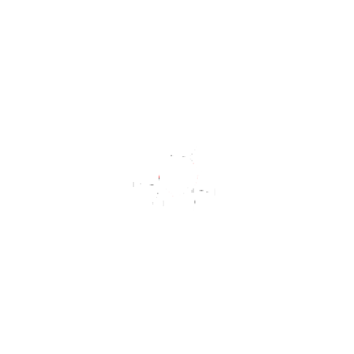 CC1CO[Si](C)(C)O[Si](C)(C)O1